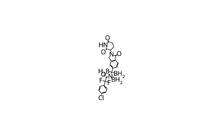 BN(C(=O)C(F)(F)c1ccc(Cl)cc1)C(B)(B)c1ccc2c(c1)CN(C1CCC(=O)NC1=O)C2=O